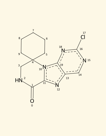 O=C1NCC2(CCCCC2)n2c1nc1cnc(Cl)nc12